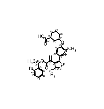 Cc1nc(-c2onc(C)c2NC(=O)O[C@H](C)c2ccccc2F)ccc1OC1CCCC(C(=O)O)C1